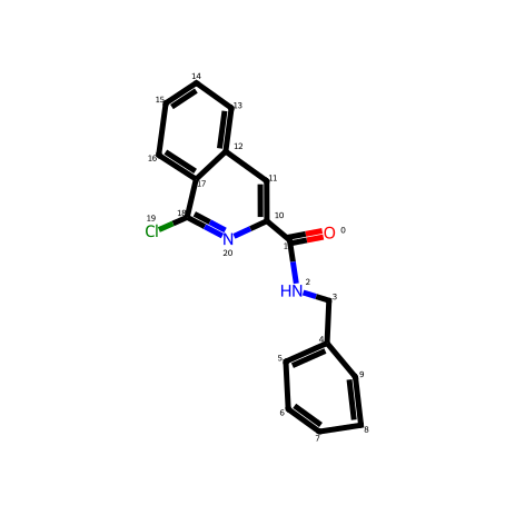 O=C(NCc1ccccc1)c1cc2ccccc2c(Cl)n1